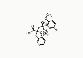 COc1ccc(F)cc1C(C)(C)CC(O)(Cc1ccccc1C)C(=O)O